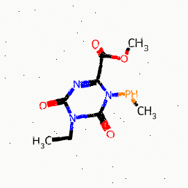 CCn1c(=O)nc(C(=O)OC)n(PC)c1=O